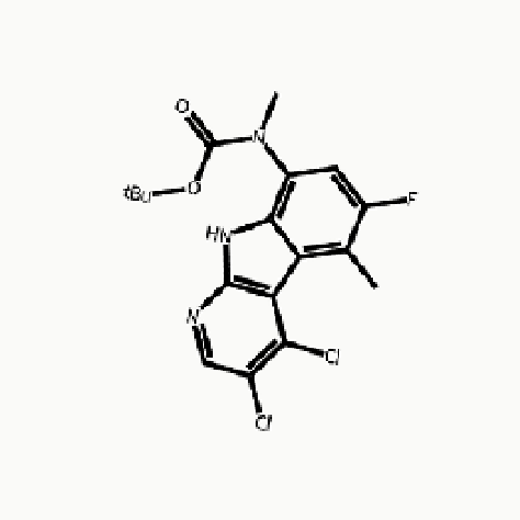 Cc1c(F)cc(N(C)C(=O)OC(C)(C)C)c2[nH]c3ncc(Cl)c(Cl)c3c12